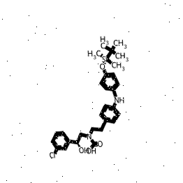 CC(C)(C)[Si](C)(C)Oc1ccc(Nc2ccc(CCN(C[C@@H](O)c3cccc(Cl)c3)C(=O)O)cc2)cc1